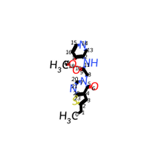 CCc1cc2c(=O)n(CC(=O)Nc3cnccc3OC)cnc2s1